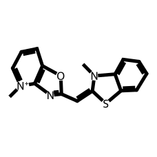 CN1C(=Cc2nc3c(ccc[n+]3C)o2)Sc2ccccc21